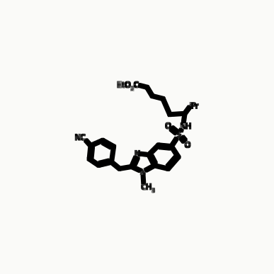 CCOC(=O)CCCCC(NS(=O)(=O)c1ccc2c(c1)nc(Cc1ccc(C#N)cc1)n2C)C(C)C